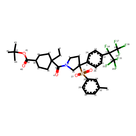 CCC1(C(=O)N2CCC(c3ccc(C(F)(C(F)(F)F)C(F)(F)F)cc3)(S(=O)(=O)c3cccc(C)c3)C2)CCC(C(=O)OC(C)(C)C)CC1